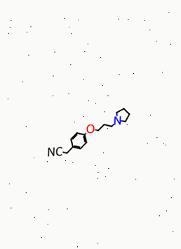 N#CCc1ccc(OCCCN2CCCC2)cc1